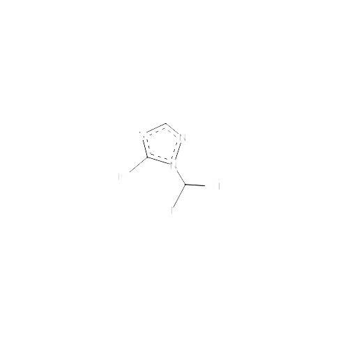 CC(I)n1ncnc1O